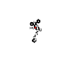 O=C(O)c1c(CN2CCN(CCOCCOC3CCCCO3)C(=O)C2)c(-c2ccccc2)nc2ccccc12